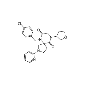 O=C1CN(C2CCOC2)C(=O)C2(CCN(c3ccccn3)C2)N1Cc1ccc(Cl)cc1